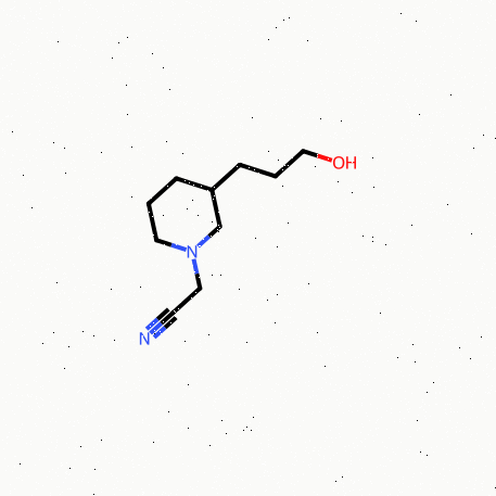 N#CCN1CCCC(CCCO)C1